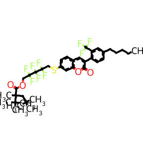 CCCCCc1ccc(-c2cc3ccc(SCC(F)(F)C(F)(F)C(F)(F)COC(=O)C(C)(CC(C)(C)C)C(C)(C)C)cc3oc2=O)c(C(F)(F)F)c1